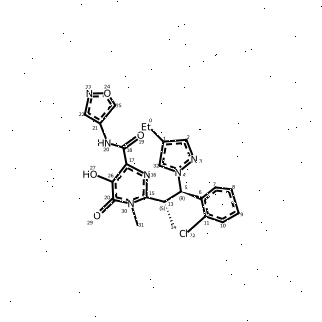 CCc1cnn([C@@H](c2ccccc2Cl)[C@H](C)c2nc(C(=O)Nc3cnoc3)c(O)c(=O)n2C)c1